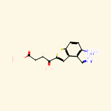 O=C(O)CCC(=O)c1cc2c(ccc3[nH]ncc32)s1